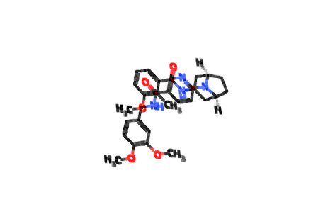 COc1ccc(CNC(=O)c2ccc(N3[C@@H]4CC[C@H]3C[C@@H](NC(=O)c3cccc(OC)c3C)C4)nc2)cc1OC